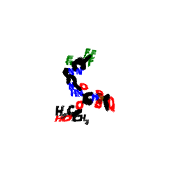 CC(C)(O)CO[C@@H]1CN(S(=O)(=O)C2COC2)C[C@H]1NC(=O)c1cc2c(ccn2-c2ncc(C(F)(F)F)cc2F)cn1